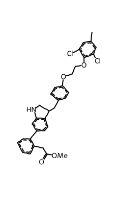 COC(=O)Cc1ccccc1-c1ccc2c(c1)NCC2Cc1ccc(OCCOc2c(Cl)cc(C)cc2Cl)cc1